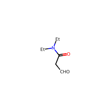 CCN(CC)C(=O)CC=O